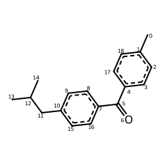 Cc1ccc(C(=O)c2ccc(CC(C)C)cc2)cc1